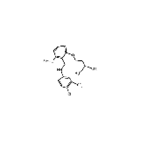 CCOc1cccc(OCCN(C)C)c1CNc1ccc(Cl)c(C(F)(F)F)c1